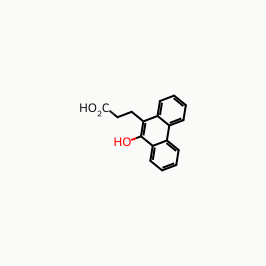 O=C(O)CCc1c(O)c2ccccc2c2ccccc12